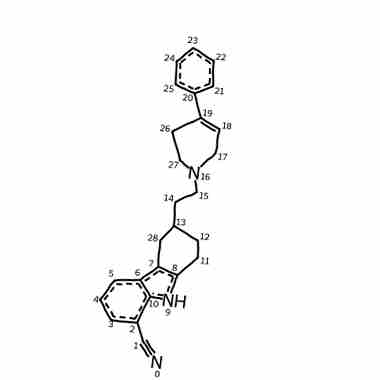 N#Cc1cccc2c3c([nH]c12)CCC(CCN1CC=C(c2ccccc2)CC1)C3